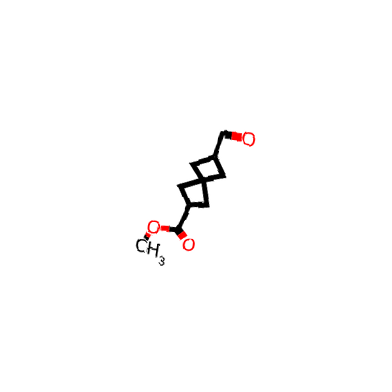 COC(=O)C1CC2(CC(C=O)C2)C1